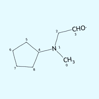 CN(C[C]=O)C1CCCC1